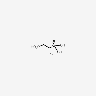 O=C(O)CC[Si](O)(O)O.[Pd]